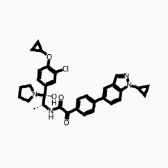 C[C@@H](NC(=O)C(=O)c1ccc(-c2ccc3c(cnn3C3CC3)c2)cc1)[C@](O)(c1ccc(OC2CC2)c(Cl)c1)N1CCCC1